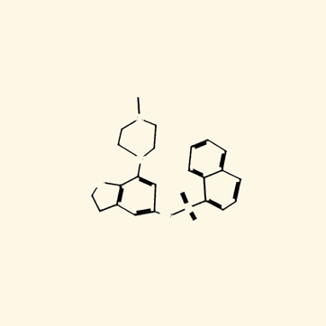 CN1CCN(c2cc(NS(=O)(=O)c3cccc4ccccc34)cc3c2OCC3)CC1